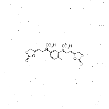 Cc1ccc(N(C/C=C2/COC(=O)O2)C(=O)O)cc1N(C/C=C1/COC(=O)O1)C(=O)O